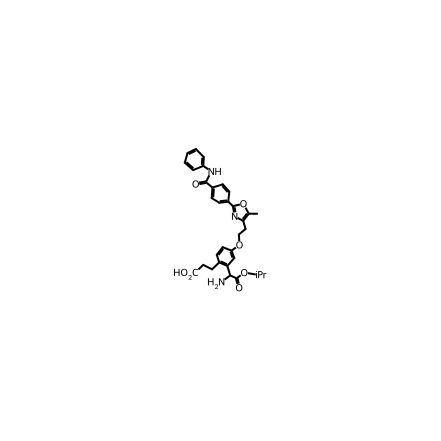 Cc1oc(-c2ccc(C(=O)Nc3ccccc3)cc2)nc1CCOc1ccc(CCC(=O)O)c(C(N)C(=O)OC(C)C)c1